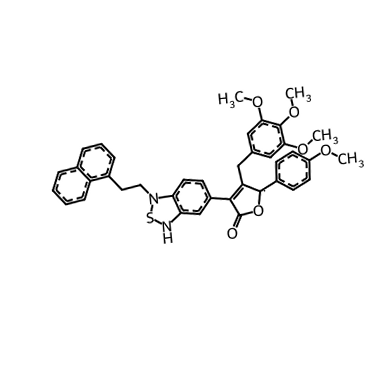 COc1ccc([C]2OC(=O)C(c3ccc4c(c3)NSN4CCc3cccc4ccccc34)=C2Cc2cc(OC)c(OC)c(OC)c2)cc1